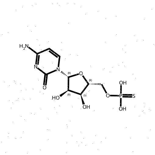 Nc1ccn([C@@H]2O[C@H](COP(O)(O)=S)[C@@H](O)[C@H]2O)c(=O)n1